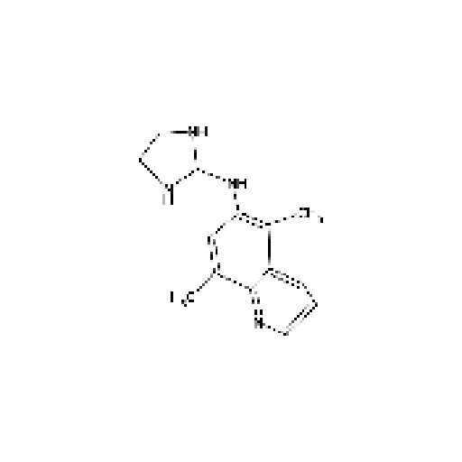 Cc1c(NC2NCCN2)cc(C)c2ncccc12